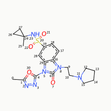 Cc1nnc(-n2c(=O)n(CCN3CCCC3)c3ccc(S(=O)(=O)NC4(C)CC4)cc32)o1